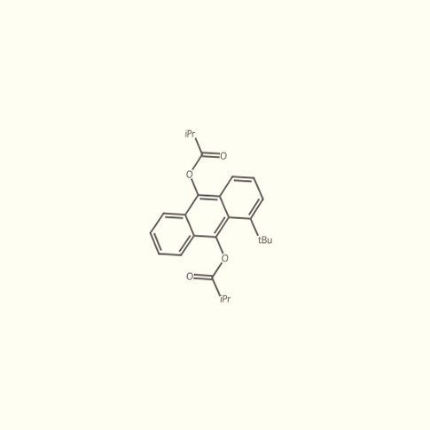 CC(C)C(=O)Oc1c2ccccc2c(OC(=O)C(C)C)c2c(C(C)(C)C)cccc12